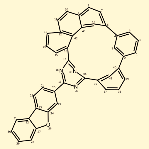 c1cc2cc(c1)c1ccc3ccc4cccc(c5nc(-c6ccc7c(c6)oc6ccccc67)nc(n5)c5cccc2c5)c4c3c1